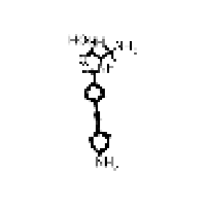 CC(C)(N)C(NC(=O)c1ccc(C#Cc2ccc(N)cc2)cc1)C(=O)NO